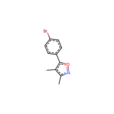 [CH2]c1c(C)noc1-c1ccc(Br)cc1